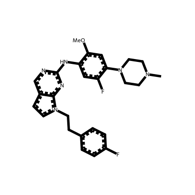 COc1cc(N2CCN(C)CC2)c(F)cc1Nc1ncc2ccn(CCc3ccc(F)cc3)c2n1